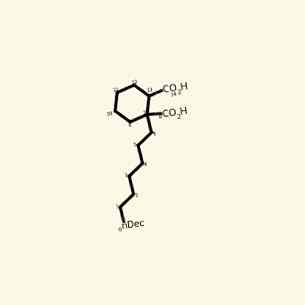 CCCCCCCCCCCCCCCCC1(C(=O)O)CCCCC1C(=O)O